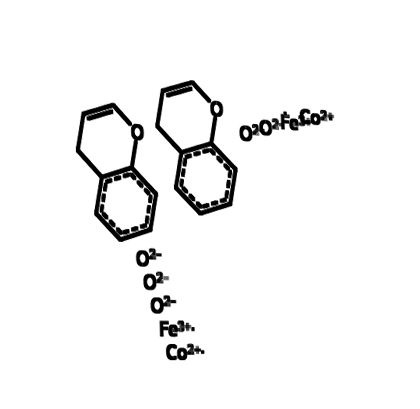 C1=COc2ccccc2C1.C1=COc2ccccc2C1.[Co+2].[Co+2].[Fe+3].[Fe+3].[O-2].[O-2].[O-2].[O-2].[O-2]